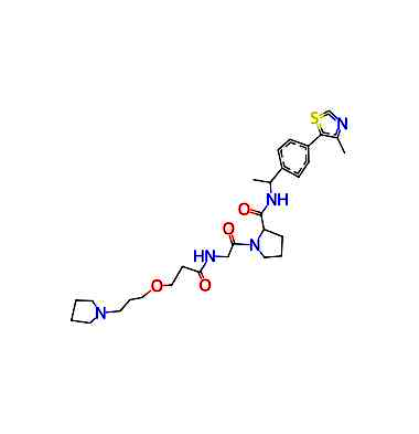 Cc1ncsc1-c1ccc(C(C)NC(=O)C2CCCN2C(=O)CNC(=O)CCOCCCN2CCCC2)cc1